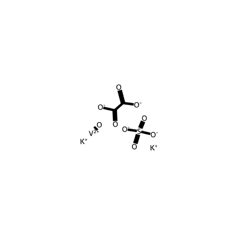 O=C([O-])C(=O)[O-].O=S(=O)([O-])[O-].[K+].[K+].[O]=[V+2]